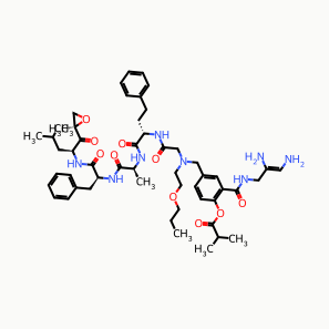 CCCOCCN(CC(=O)N[C@@H](CCc1ccccc1)C(=O)N[C@@H](C)C(=O)N[C@@H](Cc1ccccc1)C(=O)N[C@@H](CC(C)C)C(=O)[C@@]1(C)CO1)Cc1ccc(OC(=O)C(C)C)c(C(=O)NC/C(N)=C/N)c1